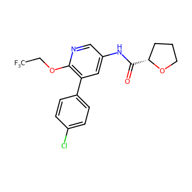 O=C(Nc1cnc(OCC(F)(F)F)c(-c2ccc(Cl)cc2)c1)[C@@H]1CCCO1